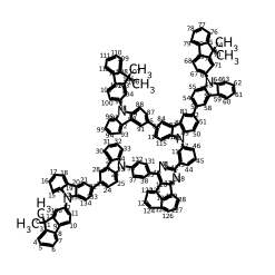 CC1(C)c2ccccc2-c2ccc(-n3c4ccccc4c4cc(-c5ccc6c(c5)c5ccccc5n6-c5ccc(-c6nc(-c7cccc(-n8c9ccc(-c%10ccc%11c(c%10)c%10ccccc%10n%11-c%10ccc%11c(c%10)C(C)(C)c%10ccccc%10-%11)cc9c9cc(-c%10ccc%11c(c%10)c%10ccccc%10n%11-c%10ccc%11c(c%10)C(C)(C)c%10ccccc%10-%11)ccc98)c7)nc7c6-c6cccc8cccc-7c68)cc5)ccc43)cc21